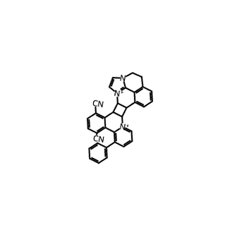 N#Cc1ccc(C#N)c2c1-c1c(-c3ccccc3)ccc[n+]1C1C3c4cccc5c4-c4n(cc[n+]4C3C21)CC5